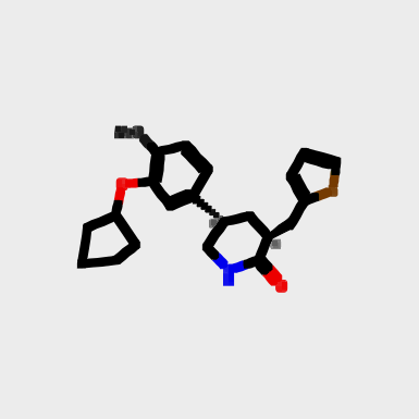 COc1ccc([C@H]2CNC(=O)[C@H](Cc3cccs3)C2)cc1OC1CCCC1